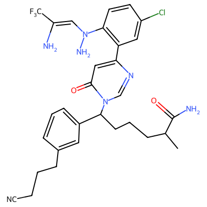 CC(CCCC(c1cccc(CCCC#N)c1)n1cnc(-c2cc(Cl)ccc2N(N)/C=C(\N)C(F)(F)F)cc1=O)C(N)=O